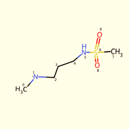 C[N]CCCNS(C)(=O)=O